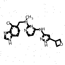 CN(Cc1ccc2[nH]cnc2c1Cl)c1nccc(Nc2cc(C3COC3)[nH]n2)n1